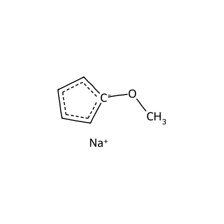 CO[c-]1cccc1.[Na+]